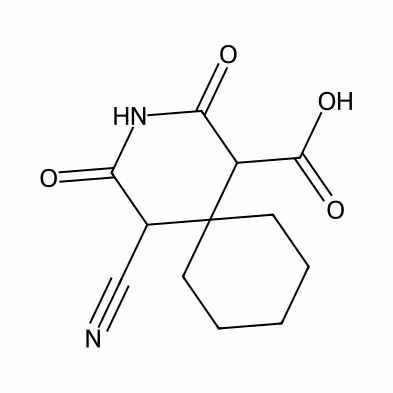 N#CC1C(=O)NC(=O)C(C(=O)O)C12CCCCC2